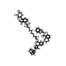 Cc1c(-c2ccc(N3CCc4cccc(C(=O)Nc5nc6ccccc6s5)c4C3)nc2C(=O)NCCCCCCCCCC(=O)Nc2cccc3c(C4CCC(=O)NC4=O)nn(C)c23)cnn1CC12CC3CC(CC(C3)C1)C2